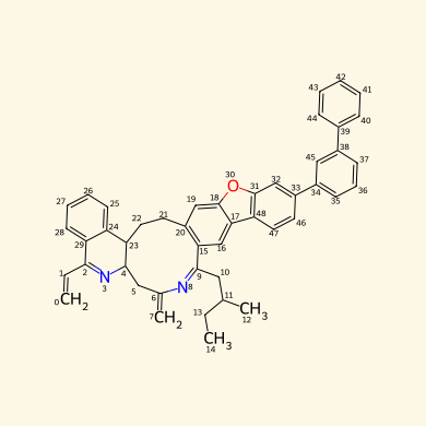 C=CC1=NC2CC(=C)/N=C(/CC(C)CC)c3cc4c(cc3CCC2c2ccccc21)oc1cc(-c2cccc(-c3ccccc3)c2)ccc14